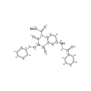 COC(=O)C1C(=O)N(OCc2ccccc2)C(=O)c2cc(NCC(=O)c3ccccc3)ccc21